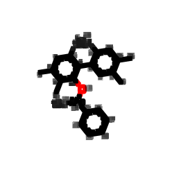 Cc1cc(-c2c(C(C)(C)C)cc(C)c(C)c2[O][Mo]([c]2ccccc2)[C](C)(C)C)c(C(C)(C)C)cc1C